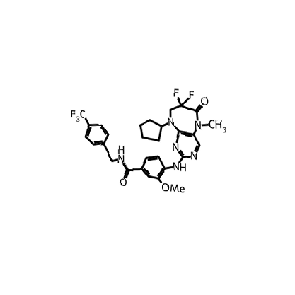 COc1cc(C(=O)NCc2ccc(C(F)(F)F)cc2)ccc1Nc1ncc2c(n1)N(C1CCCC1)CC(F)(F)C(=O)N2C